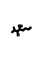 CCCCC(O)C(Cl)N(C)C